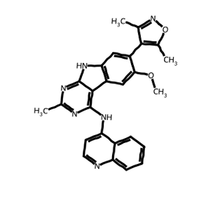 COc1cc2c(cc1-c1c(C)noc1C)[nH]c1nc(C)nc(Nc3ccnc4ccccc34)c12